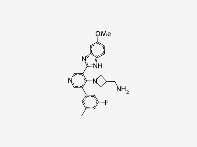 COc1ccc2[nH]c(-c3cncc(-c4cc(C)cc(F)c4)c3N3CC(CN)C3)nc2c1